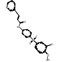 CCCOc1ccc(S(=O)(=O)c2ccc(NC(=O)/C=C/c3cccnc3)cc2)cc1Cl